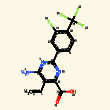 C=Cc1c(N)nc(-c2ccc(C(F)(F)F)c(F)c2)nc1C(=O)O